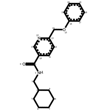 O=C(NCC1CCCCC1)c1ccc(COc2ccccc2)nc1